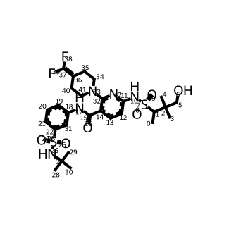 CC(C(C)(C)CO)S(=O)(=O)Nc1ccc(C(=O)Nc2cccc(S(=O)(=O)NC(C)(C)C)c2)c(N2CCC(=C(F)F)CC2)n1